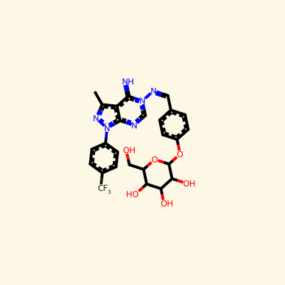 Cc1nn(-c2ccc(C(F)(F)F)cc2)c2ncn(/N=C\c3ccc(OC4OC(CO)C(O)C(O)C4O)cc3)c(=N)c12